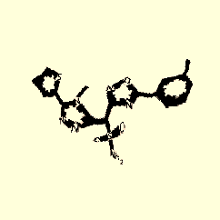 Cc1cccc(-c2nc(C(c3nnc(-c4cccs4)n3C)S(N)(=O)=O)no2)c1